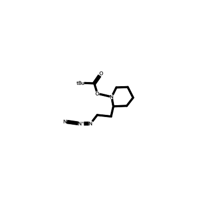 CC(C)(C)C(=O)ON1CCCCC1CCN=[N+]=[N-]